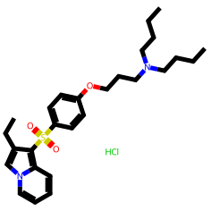 CCCCN(CCCC)CCCOc1ccc(S(=O)(=O)c2c(CC)cn3ccccc23)cc1.Cl